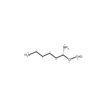 NCCCC[C@H](N)OC=O